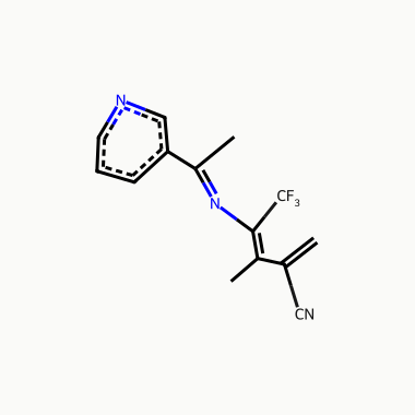 C=C(C#N)/C(C)=C(/N=C(\C)c1cccnc1)C(F)(F)F